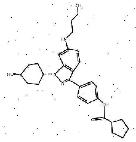 CCCCNc1ncc2c(-c3ccc(NC(=O)C4CCCC4)cc3)nn([C@H]3CC[C@H](O)CC3)c2n1